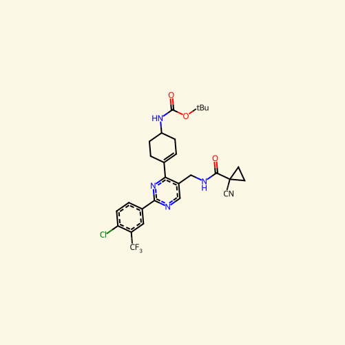 CC(C)(C)OC(=O)NC1CC=C(c2nc(-c3ccc(Cl)c(C(F)(F)F)c3)ncc2CNC(=O)C2(C#N)CC2)CC1